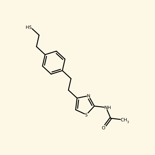 CC(=O)Nc1nc(CCc2ccc(CCS)cc2)cs1